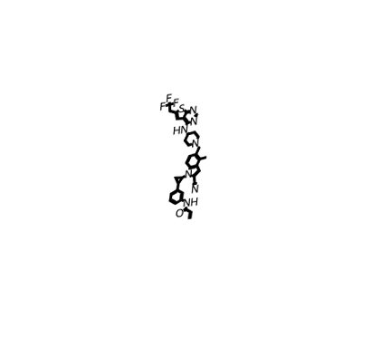 C=CC(=O)Nc1cccc(C2CC2n2c(C#N)cc3c(C)c(CN4CCC(Nc5ncnc6sc(CC(F)(F)F)cc56)CC4)ccc32)c1